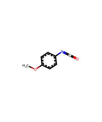 COc1c[c]c(N=C=O)cc1